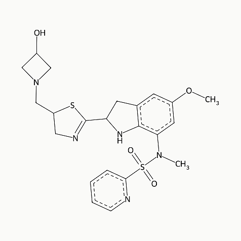 COc1cc2c(c(N(C)S(=O)(=O)c3ccccn3)c1)NC(C1=NCC(CN3CC(O)C3)S1)C2